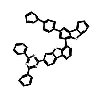 c1ccc(-c2ccc(-c3cc(-c4cccc5c4sc4cc(-c6nc(-c7ccccc7)nc(-c7ccccc7)n6)ccc45)c4sc5ccccc5c4c3)cc2)cc1